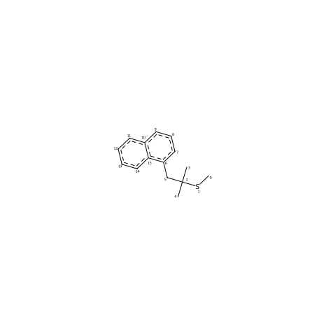 CSC(C)(C)Cc1cccc2ccccc12